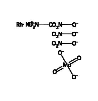 O=[N+]([O-])[O-].O=[N+]([O-])[O-].O=[N+]([O-])[O-].O=[N+]([O-])[O-].[Ni+2].[O]=[Mo](=[O])([O-])[O-].[Rh]